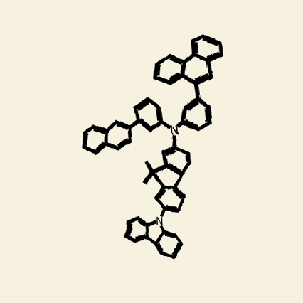 CC1(C)c2cc(N(c3cccc(-c4ccc5ccccc5c4)c3)c3cccc(-c4cc5ccccc5c5ccccc45)c3)ccc2-c2ccc(-n3c4ccccc4c4ccccc43)cc21